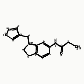 CCC(=O)Nc1ccc2c(c1)N(Cc1c[nH]cn1)CC2